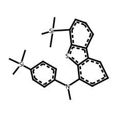 CN(c1ccc([Si](C)(C)C)cc1)c1cccc2c1sc1c([Si](C)(C)C)cccc12